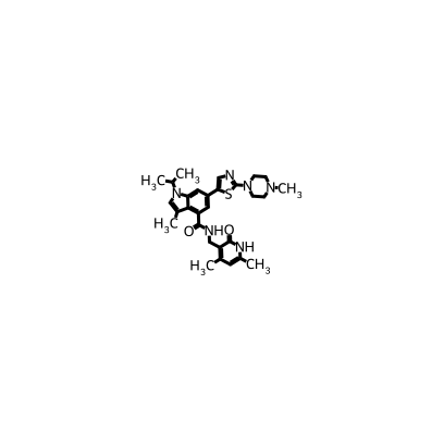 Cc1cc(C)c(CNC(=O)c2cc(-c3cnc(N4CCN(C)CC4)s3)cc3c2c(C)cn3C(C)C)c(=O)[nH]1